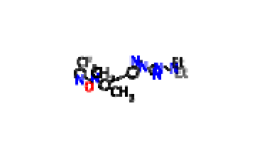 CCN(CC)CCn1cc(-n2cnc3cc(C#Cc4cc(N(C)C(=O)c5cc(C(F)(F)F)ccn5)ccc4C)ccc32)cn1